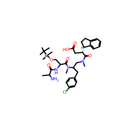 CC(N)C(=O)NC(CO[Si](C)(C)C(C)(C)C)C(=O)N(C)C(Cc1ccc(Cl)cc1)CN(C)C(=O)C(CC(=O)O)[C@@H]1CCc2ccccc21